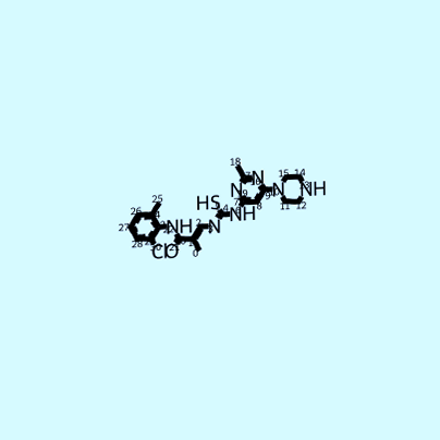 C/C(=C\N=C(/S)Nc1cc(N2CCNCC2)nc(C)n1)C(=O)Nc1c(C)cccc1Cl